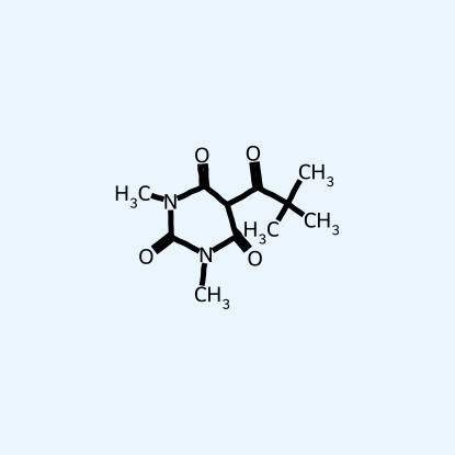 CN1C(=O)C(C(=O)C(C)(C)C)C(=O)N(C)C1=O